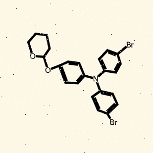 Brc1ccc(N(c2ccc(Br)cc2)c2ccc(OC3CCCCO3)cc2)cc1